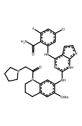 COc1cc2c(cc1Nc1nc(Nc3cc(Cl)cc(F)c3C(N)=O)c3ccnc-3[nH]1)N(C(=O)CN1CCCC1)CCC2